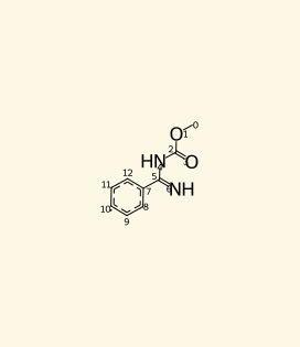 COC(=O)NC(=N)c1cc[c]cc1